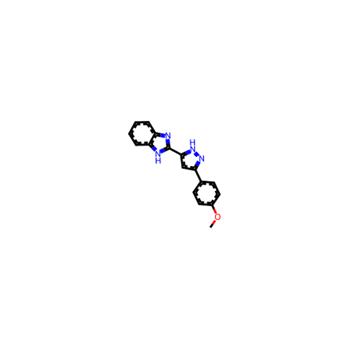 COc1ccc(-c2cc(-c3nc4ccccc4[nH]3)[nH]n2)cc1